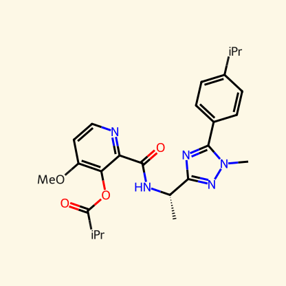 COc1ccnc(C(=O)N[C@@H](C)c2nc(-c3ccc(C(C)C)cc3)n(C)n2)c1OC(=O)C(C)C